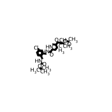 CC(=O)O[C@H](C)C(C)(C)C(=O)C1CCC(C(=O)NCc2cc(Cl)ccc2CNC(=O)OC(C)(C)C)NC1